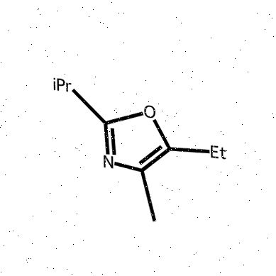 CCc1oc(C(C)C)nc1C